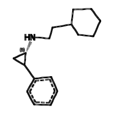 c1ccc(C2C[C@@H]2NCCC2CCCCC2)cc1